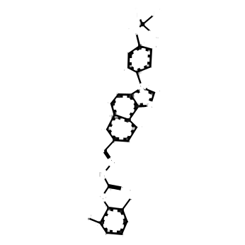 Cc1cccc(Cl)c1NC(=S)N/N=C/c1ccc2c(ccc3c2ncn3-c2ccc(OC(F)(F)F)cc2)c1